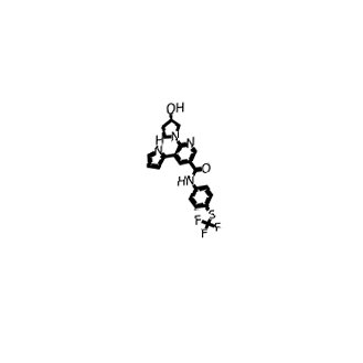 O=C(Nc1ccc(SC(F)(F)F)cc1)c1cnc(N2CCC(O)C2)c(-c2ccc[nH]2)c1